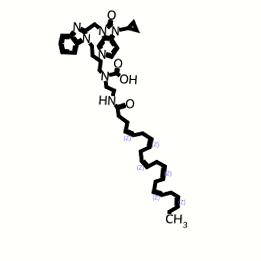 CC/C=C\C/C=C\C/C=C\C/C=C\C/C=C\C/C=C\CCC(=O)NCCN(CCCCn1c(Cn2c(=O)n(C3CC3)c3ccncc32)nc2ccccc21)C(=O)O